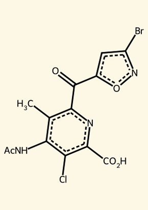 CC(=O)Nc1c(C)c(C(=O)c2cc(Br)no2)nc(C(=O)O)c1Cl